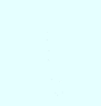 O=C(O)CCCCCCCCCCCCCCCC(I)C(=O)O